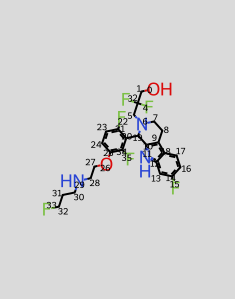 OCC(F)(F)CN1CCc2c([nH]c3cc(F)ccc23)C1c1c(F)ccc(OCCNCCCF)c1F